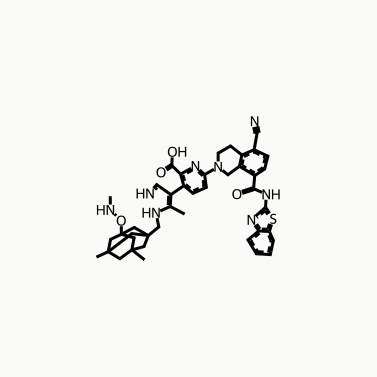 CNOC12CC3(C)CC(C)(CC(CN/C(C)=C(\C=N)c4ccc(N5CCc6c(C#N)ccc(C(=O)Nc7nc8ccccc8s7)c6C5)nc4C(=O)O)(C3)C1)C2